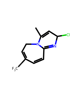 CC1=CC(Cl)N=C2C=CC(C(F)(F)F)=CCN12